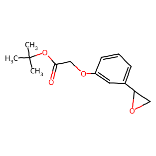 CC(C)(C)OC(=O)COc1cccc(C2CO2)c1